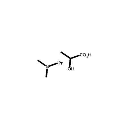 CC(C)N(C)C.CC(O)C(=O)O